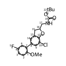 COc1ccc(F)cc1-c1cc(Cl)c2c(c1)CC(CNC(=O)OC(C)(C)C)O2